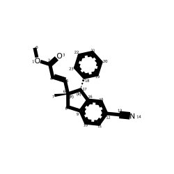 COC(=O)C=C[C@@]1(C)Cc2ccc(C#N)cc2[C@H]1c1ccccc1